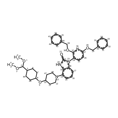 COC(OC)C1CCC(OC2CCN(c3cccc4c3[nH]c(=O)n4-c3ccc(OCc4ccccc4)nc3OCc3ccccc3)CC2)CC1